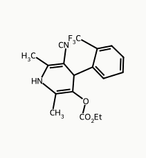 CCOC(=O)OC1=C(C)NC(C)=C(C#N)C1c1ccccc1C(F)(F)F